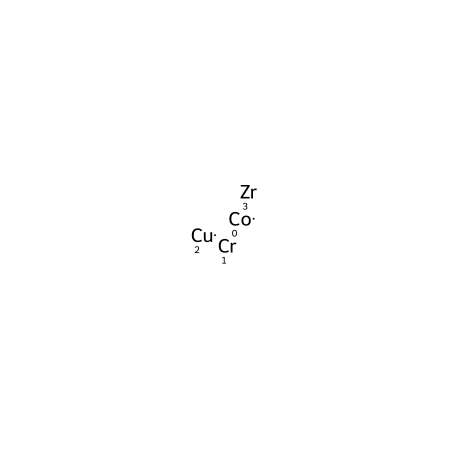 [Co].[Cr].[Cu].[Zr]